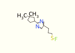 CC1(C)CCC(c2ncc(CCCSF)cn2)C1